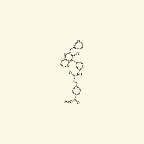 COC(=O)c1ccc(/C=C/C(=O)Nc2cccc(-n3c(=O)c(Cc4cccnc4)nc4cccnc43)c2)cc1